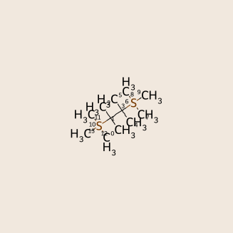 CC(C)(C(C)(C)S(C)(C)C)S(C)(C)C